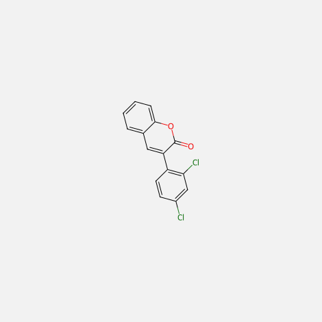 O=c1oc2ccccc2cc1-c1ccc(Cl)cc1Cl